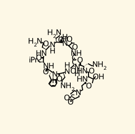 CC(C)C[C@@H]1NC(=O)[C@@H](Cc2ccccc2)NC(=O)[C@H](CCN)NC(=O)[C@@H](NC(=O)[C@H](CCN)NC(=O)[C@@H](NC(=O)CCN2CCS(=O)(=O)CC2)C(C)O)CCNC(=O)C(C(C)O)NC(=O)[C@H](CCN)NC(=O)[C@H](CCN)NC1=O